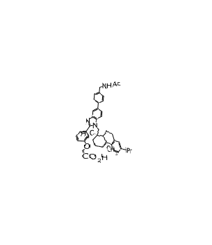 CC(=O)NCc1ccc(-c2ccc3c(c2)nc(-c2cccc(OCC(=O)O)c2)n3C[C@]2(C)CCC[C@]3(C)c4ccc(C(C)C)cc4CCC23)cc1